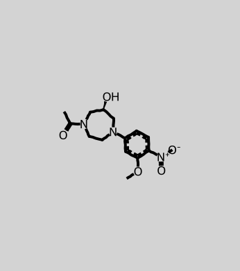 COc1cc(N2CCN(C(C)=O)C[C@@H](O)C2)ccc1[N+](=O)[O-]